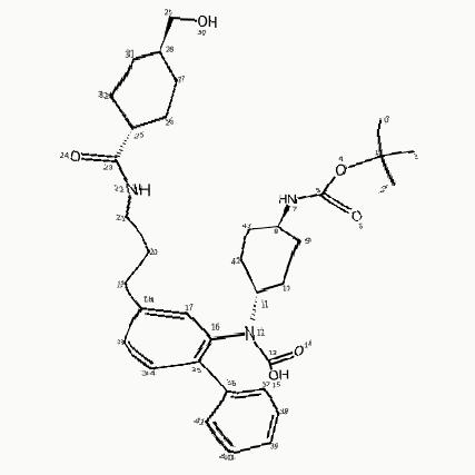 CC(C)(C)OC(=O)N[C@H]1CC[C@H](N(C(=O)O)c2cc(CCCNC(=O)[C@H]3CC[C@H](CO)CC3)ccc2-c2ccccc2)CC1